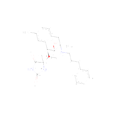 Cc1ccc2c(c1)[C@]13CCN(CCCc4ccccc4)[C@H](C2)[C@]1(O)CC[C@@]1(C3)NC(=O)NC1=O